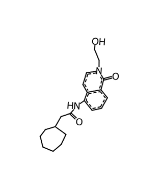 O=C(CC1CCCCCC1)Nc1cccc2c(=O)n(CCO)ccc12